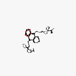 C=C(C)C(=O)OCCCC12C3=C(CCC=C3)C(CCC(=O)O)(c3ccccc31)c1ccccc12